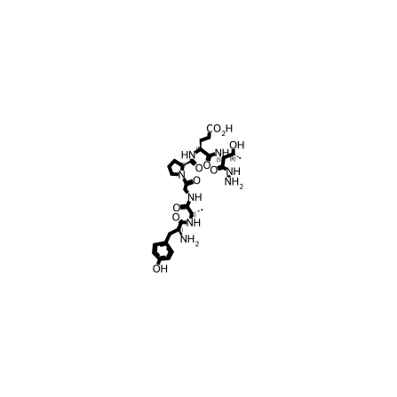 C[C@H](NC(=O)[C@@H](N)Cc1ccc(O)cc1)C(=O)NCC(=O)N1CCC[C@H]1C(=O)N[C@@H](CCC(=O)O)C(=O)N[C@H](C(=O)NN)[C@@H](C)O